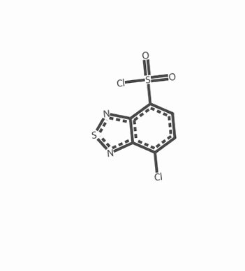 O=S(=O)(Cl)c1ccc(Cl)c2nsnc12